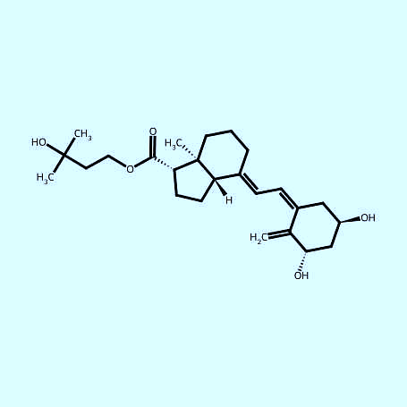 C=C1/C(=C\C=C2/CCC[C@]3(C)[C@@H](C(=O)OCCC(C)(C)O)CC[C@@H]23)C[C@@H](O)C[C@@H]1O